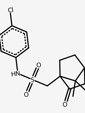 CC1(C)C2CCC1(CS(=O)(=O)Nc1ccc(Cl)cc1)C(=O)C2